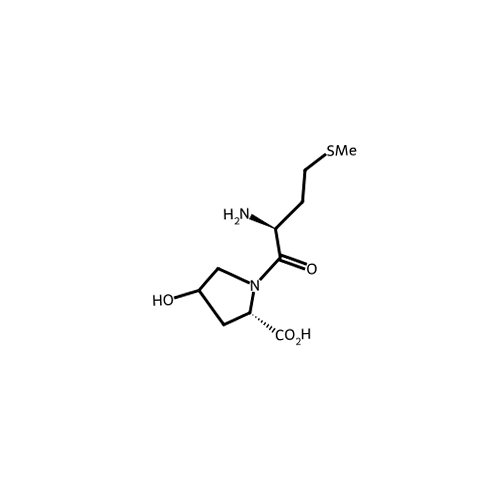 CSCC[C@H](N)C(=O)N1CC(O)C[C@H]1C(=O)O